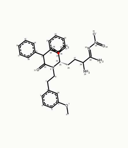 COc1cccc(CCN(C(=O)C(c2ccccc2)c2ccccc2)[C@@H](CCC(N)C(N)=N[N+](=O)[O-])C(N)=O)c1